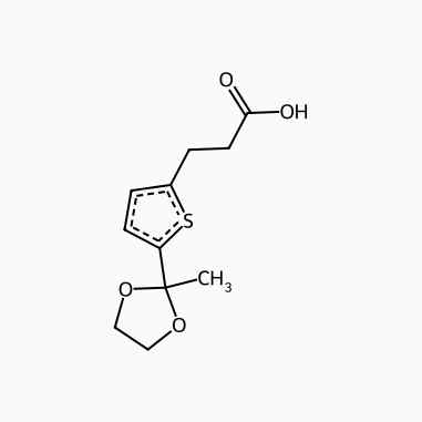 CC1(c2ccc(CCC(=O)O)s2)OCCO1